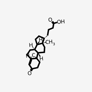 C[C@]12CC[C@H]3[C@@H](CCC4=CC(=O)CC[C@@]43C)[C@@H]1CC[C@@H]2CCCC(=O)O